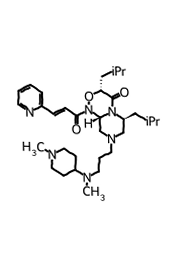 CC(C)C[C@H]1CN(CCCN(C)C2CCN(C)CC2)C[C@@H]2N(C(=O)/C=C/c3ccccn3)O[C@H](CC(C)C)C(=O)N12